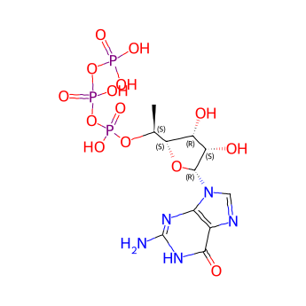 C[C@H](OP(=O)(O)OP(=O)(O)OP(=O)(O)O)[C@H]1O[C@@H](n2cnc3c(=O)[nH]c(N)nc32)[C@@H](O)[C@H]1O